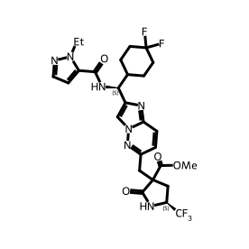 CCn1nccc1C(=O)N[C@H](c1cn2nc(CC3(C(=O)OC)C[C@@H](C(F)(F)F)NC3=O)ccc2n1)C1CCC(F)(F)CC1